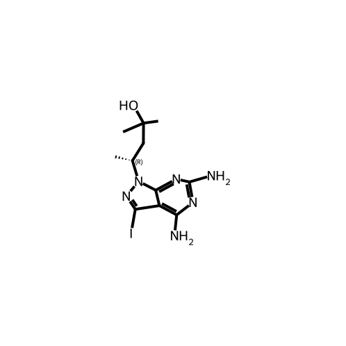 C[C@H](CC(C)(C)O)n1nc(I)c2c(N)nc(N)nc21